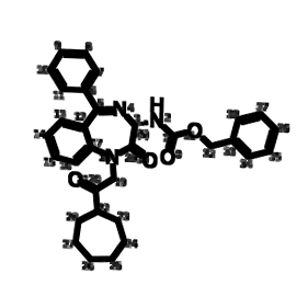 O=C(N[C@H]1N=C(c2ccccc2)c2ccccc2N(CC(=O)C2CCCCCC2)C1=O)OCc1ccccc1